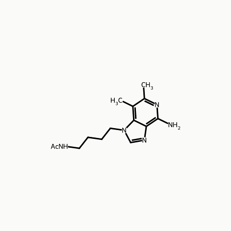 CC(=O)NCCCCn1cnc2c(N)nc(C)c(C)c21